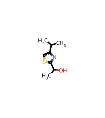 CC(C)c1csc(C(C)O)n1